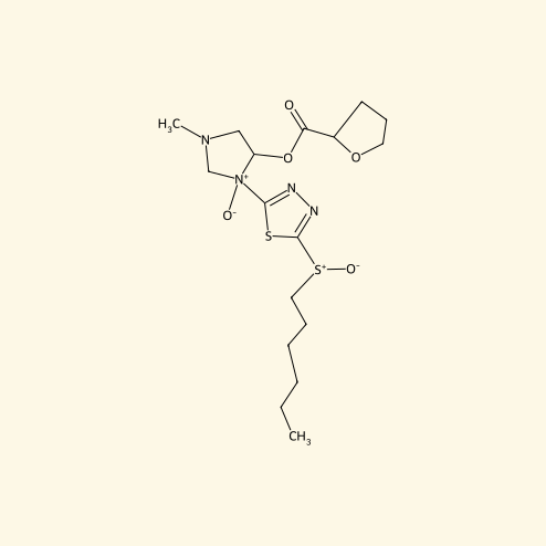 CCCCCC[S+]([O-])c1nnc([N+]2([O-])CN(C)CC2OC(=O)C2CCCO2)s1